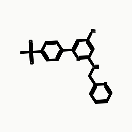 CCc1cc(NCc2ccccn2)nc(-c2ccc(S(C)(=O)=O)cc2)c1